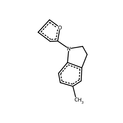 Cc1ccc2c(c1)CCN2c1ccco1